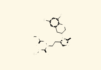 CC(C)(C)OC(=O)ON(CCc1c[nH]c(=S)n1[C@H]1COc2c(F)cc(F)cc2C1)C(=O)OC(C)(C)C